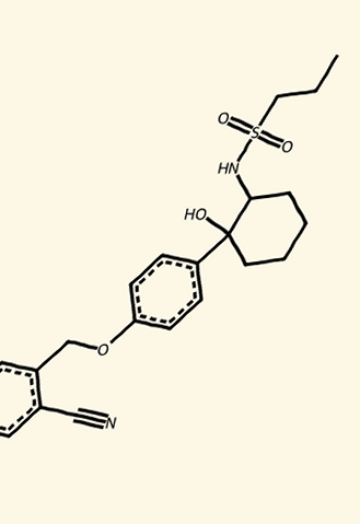 CCCS(=O)(=O)NC1CCCCC1(O)c1ccc(OCc2ccccc2C#N)cc1